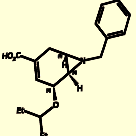 CCC(CC)O[C@@H]1C=C(C(=O)O)C[C@@H]2[C@H]1N2Cc1ccccc1